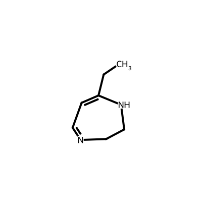 CCC1=CC=NCCN1